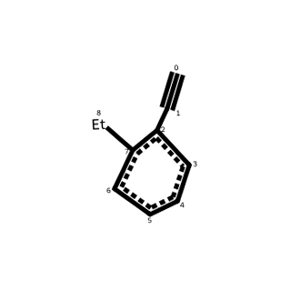 C#Cc1ccccc1C[CH2]